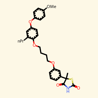 CCCc1cc(Oc2ccc(OC)cc2)ccc1OCCCCOc1cccc(C2(C)SC(=O)NC2=O)c1